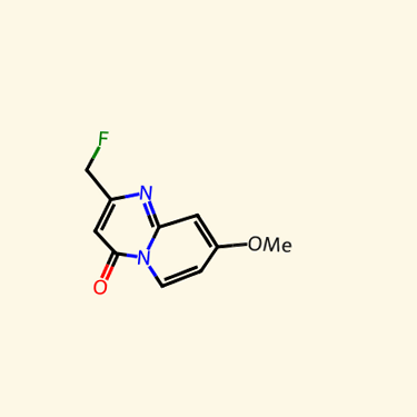 COc1ccn2c(=O)cc(CF)nc2c1